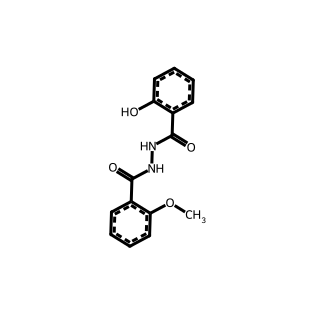 COc1ccccc1C(=O)NNC(=O)c1ccccc1O